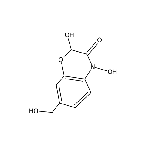 O=C1C(O)Oc2cc(CO)ccc2N1O